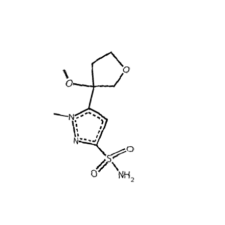 COC1(c2cc(S(N)(=O)=O)nn2C)CCOC1